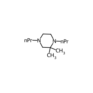 CCCN1CCN(CCC)C(C)(C)C1